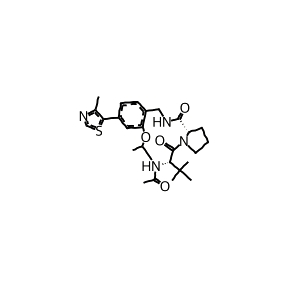 CC(=O)N[C@H](C(=O)N1CCC[C@H]1C(=O)NCc1ccc(-c2scnc2C)cc1OC(C)C)C(C)(C)C